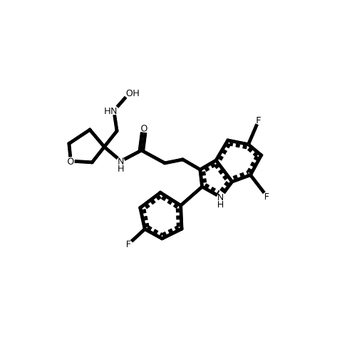 O=C(CCc1c(-c2ccc(F)cc2)[nH]c2c(F)cc(F)cc12)NC1(CNO)CCOC1